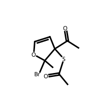 CC(=O)SC1(C(C)=O)C=COC1(C)Br